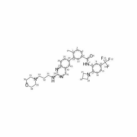 Cc1ccc(C(=O)Nc2cc(C(F)(F)F)ccc2N2CCC2)cc1-c1ccc2nc(NCCCN3CCOCC3)ncc2c1